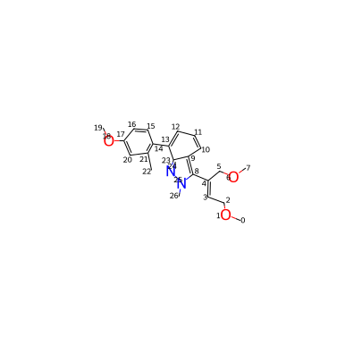 COCC=C(COC)c1c2cccc(-c3ccc(OC)cc3C)c2nn1C